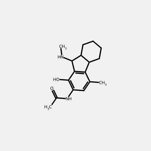 CNC1c2c(O)c(NC(C)=O)cc(C)c2C2CCCCC21